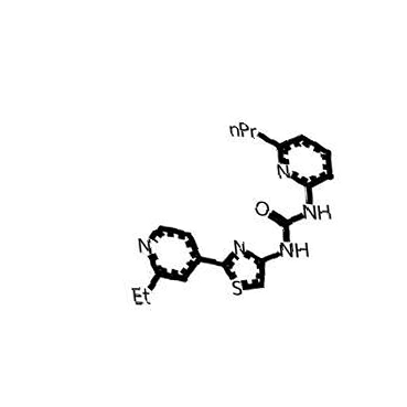 CCCc1cccc(NC(=O)Nc2csc(-c3ccnc(CC)c3)n2)n1